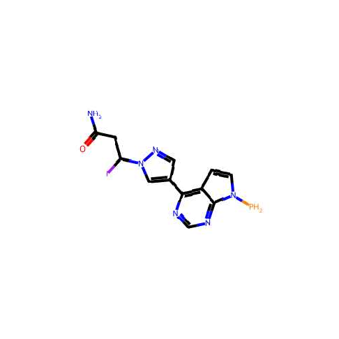 NC(=O)CC(I)n1cc(-c2ncnc3c2ccn3P)cn1